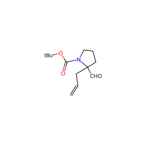 C=CCC1(C=O)CCCN1C(=O)OC(C)(C)C